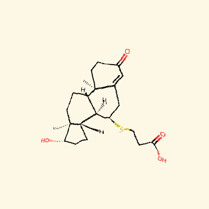 C[C@]12CC[C@H]3[C@@H]([C@H](SCCC(=O)O)CC4=CC(=O)CC[C@@]43C)[C@@H]1CC[C@@H]2O